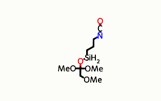 COCC(OC)(OC)O[SiH2]CCCN=C=O